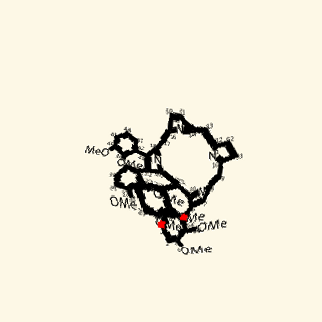 COc1cccc(C2=CC3=CC4=NC(=CC5=NC(=CC6=NC(=C(c7cccc(OC)c7OC)C2=N3)C(c2cccc(OC)c2OC)=C6c2cccc(OC)c2OC)C=C5)C=C4)c1OC